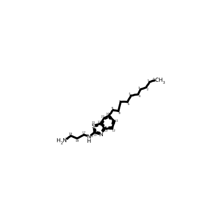 CCCCCCCCCCc1ccc2nc(NCCCN)sc2c1